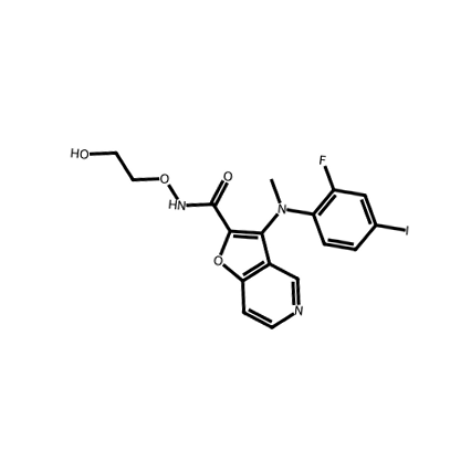 CN(c1ccc(I)cc1F)c1c(C(=O)NOCCO)oc2ccncc12